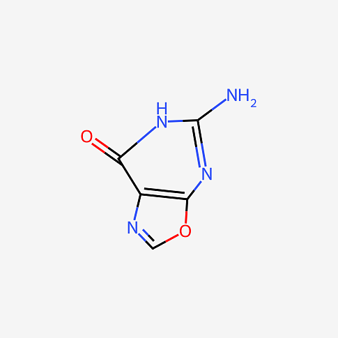 Nc1nc2ocnc2c(=O)[nH]1